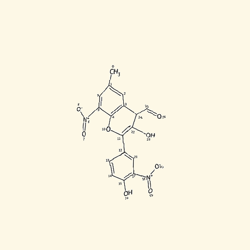 Cc1cc2c(c([N+](=O)[O-])c1)OC(c1ccc(O)c([N+](=O)[O-])c1)=C(O)C2C=O